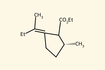 CCOC(=O)C1/C(=C(\C)CC)CC[C@H]1C